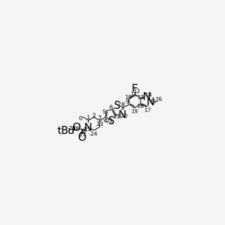 CC1CC(c2cc3sc(-c4cc(F)c5nn(C)cc5c4)nc3s2)CCN1C(=O)OC(C)(C)C